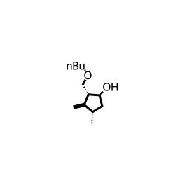 C=C1[C@@H](C)C[C@H](O)[C@H]1COCCCC